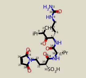 CC(C)C(C)C(=O)[C@H](CCCNC(N)=O)NC(=O)[C@@H](NC(=O)[C@@H](CCN1C(=O)C=CC1=O)S(=O)(=O)O)C(C)C